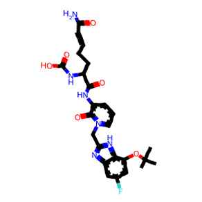 CC(C)(C)Oc1cc(F)cc2nc(Cn3cccc(NC(=O)C(CCC=CC(N)=O)NC(=O)O)c3=O)[nH]c12